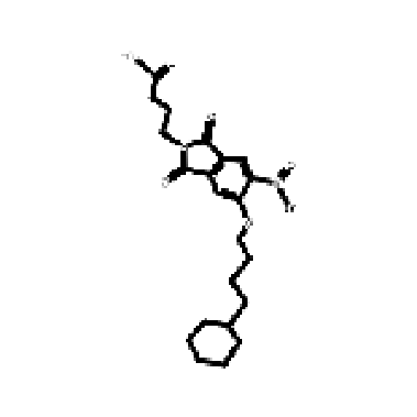 O=C(O)CCCN1C(=O)c2cc(OCCCCC3CCCCC3)c([N+](=O)[O-])cc2C1=O